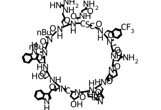 CCCC[C@H]1C(=O)N(C)[C@@H](CCCC)C(=O)N[C@@H](CCCNC(=N)N)C(=O)N[C@H](C(=O)NCC(N)=O)CSCC(=O)N[C@@H](Cc2cccc(C(F)(F)F)c2)C(=O)N(C)[C@@H](C)C(=O)N[C@@H](CC(N)=O)C(=O)N2CCC[C@H]2C(=O)N[C@@H](Cc2cnc[nH]2)C(=O)N[C@@H](CC(C)C)C(=O)N2C[C@H](O)CC2CN[C@@H](CCc2c[nH]c3ccccc23)C(=O)N[C@@H](CO)C(=O)N[C@@H](Cc2c[nH]c3ccccc23)C(=O)N1C